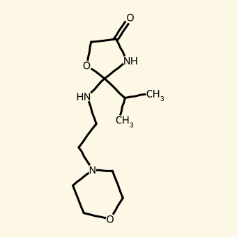 CC(C)C1(NCCN2CCOCC2)NC(=O)CO1